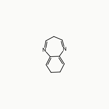 C1=NC2=CCCC=C2N=CC1